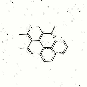 CC(=O)C1=C(c2cccc3ccccc23)C(C(C)=O)=C(C)NC1